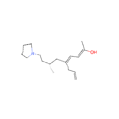 C=CC/C(=C\C=C(/C)O)C[C@H](C)CCN1CCCC1